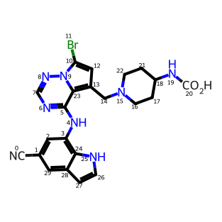 N#Cc1cc(Nc2ncnn3c(Br)cc(CN4CCC(NC(=O)O)CC4)c23)c2[nH]ccc2c1